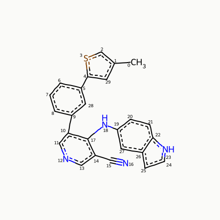 Cc1csc(-c2cccc(-c3cncc(C#N)c3Nc3ccc4[nH]ccc4c3)c2)c1